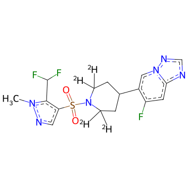 [2H]C1([2H])CC(c2cn3ncnc3cc2F)CC([2H])([2H])N1S(=O)(=O)c1cnn(C)c1C(F)F